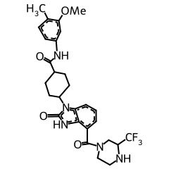 COc1cc(NC(=O)C2CCC(n3c(=O)[nH]c4c(C(=O)N5CCNC(C(F)(F)F)C5)cccc43)CC2)ccc1C